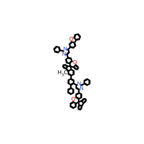 CC12C=C(c3ccc(-c4ccccc4)c(-c4cc(-c5ccc6c(c5)Oc5ccccc5C65c6ccccc6-c6ccccc65)nc(-c5ccccc5)n4)c3)C=CC1C1(c3ccccc3Oc3cc(-c4cc(-c5ccc6c(c5)oc5ccccc56)nc(-c5ccccc5)n4)ccc31)c1ccccc12